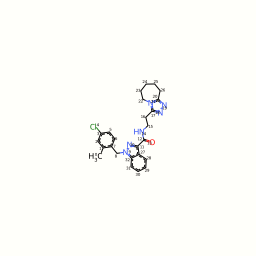 Cc1cc(Cl)ccc1Cn1nc(C(=O)NCCc2nnc3n2CCCCC3)c2ccccc21